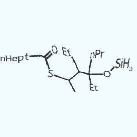 CCCCCCCC(=O)SC(C)C(CC)C(CC)(CCC)O[SiH3]